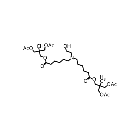 CC(=O)OCC(C)(COC(C)=O)COC(=O)CCCCCN(CCO)CCCCCC(=O)OCC(C)(COC(C)=O)COC(C)=O